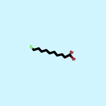 FCCCCCCCCCC(Br)Br